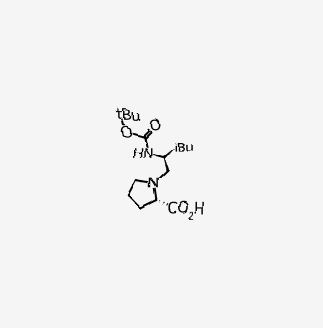 CC[C@H](C)[C@@H](CN1CCC[C@H]1C(=O)O)NC(=O)OC(C)(C)C